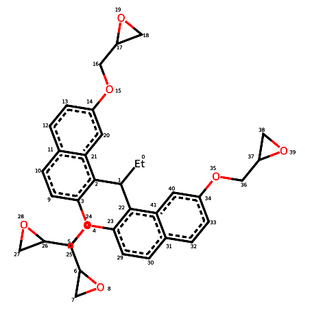 CCC(c1c(OCC2CO2)ccc2ccc(OCC3CO3)cc12)c1c(OCC2CO2)ccc2ccc(OCC3CO3)cc12